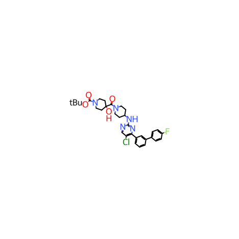 CC(C)(C)OC(=O)N1CCC(O)(C(=O)N2CCC(Nc3ncc(Cl)c(-c4cccc(-c5ccc(F)cc5)c4)n3)CC2)CC1